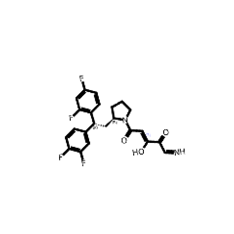 N=CC(=O)/C(O)=C/C(=O)N1CCC[C@@H]1C[C@H](c1ccc(F)c(F)c1)c1ccc(F)cc1F